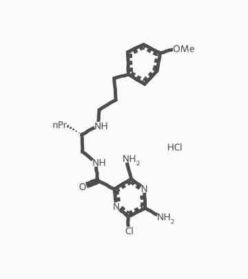 CCC[C@@H](CNC(=O)c1nc(Cl)c(N)nc1N)NCCCc1ccc(OC)cc1.Cl